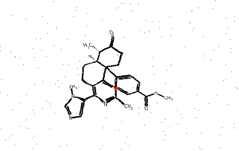 COC(=O)c1ccc(C23CCC(=O)[C@@H](C)[C@@H]2CCc2c(-c4cncn4C)nc(C)nc23)cc1